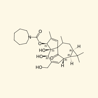 CC1=CC23C(=O)[C@@H](C=C(CO)[C@@H](O)[C@]2(O)[C@H]1OC(=O)N1CCCCCC1)[C@H]1[C@@H](CC3C)C1(C)C